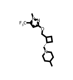 CC1CCN(C[C@H]2CCC2COc2cc(C(F)(F)F)n(C)n2)CC1